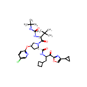 CC(C)(C)NC(=O)N[C@H](C(=O)N1C[C@H](Oc2ccc(Cl)cn2)C[C@H]1C(=O)NC(CC1CCC1)C(=O)c1nc(C2CC2)co1)C(C)(C)C